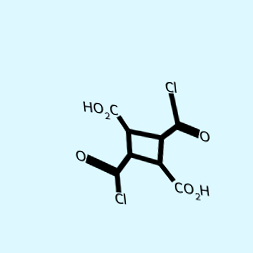 O=C(O)C1C(C(=O)Cl)C(C(=O)O)C1C(=O)Cl